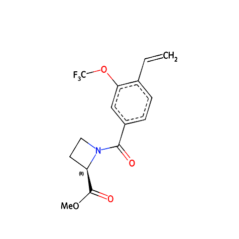 C=Cc1ccc(C(=O)N2CC[C@@H]2C(=O)OC)cc1OC(F)(F)F